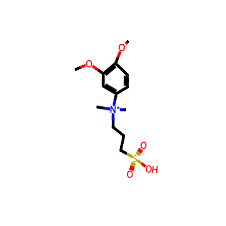 COc1ccc([N+](C)(C)CCCS(=O)(=O)O)cc1OC